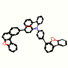 C1=CCC2Oc3c(cccc3-c3ccc(N(c4ccc(-c5ccc6ccc7oc8ccccc8c7c6c5)cc4)c4ccccc4-c4ccccc4)cc3)C2=C1